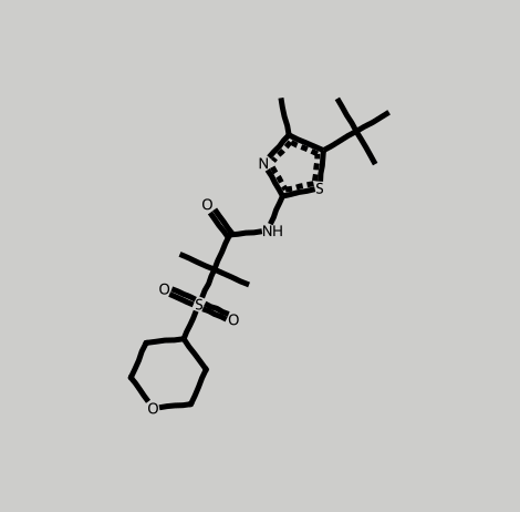 Cc1nc(NC(=O)C(C)(C)S(=O)(=O)C2CCOCC2)sc1C(C)(C)C